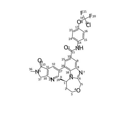 C[C@@H]1CCOCc2nc3cc(C(=O)Nc4ccc(OC(F)(F)Cl)cc4)cc(-c4cnc5c(c4)C(=O)N(C)C5)c3n21